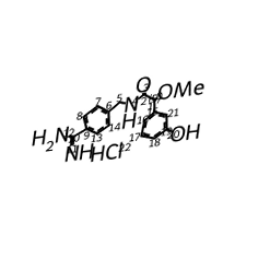 CO[C@H](C(=O)NCc1ccc(C(=N)N)cc1)c1cccc(O)c1.Cl